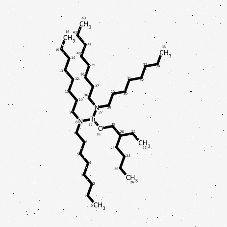 CCCCCCCC[N](CCCCCCCC)[Ti]([O]CC(CC)CCCC)[N](CCCCCCCC)CCCCCCCC